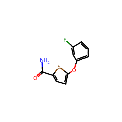 NC(=O)c1ccc(Oc2cccc(F)c2)s1